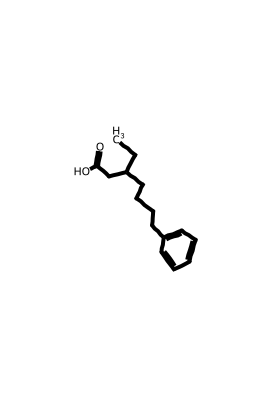 CCC(CCCCc1ccccc1)CC(=O)O